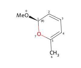 CO[C@H]1C=CC=C(C)O1